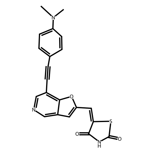 CN(C)c1ccc(C#Cc2cncc3cc(C=C4SC(=O)NC4=O)oc23)cc1